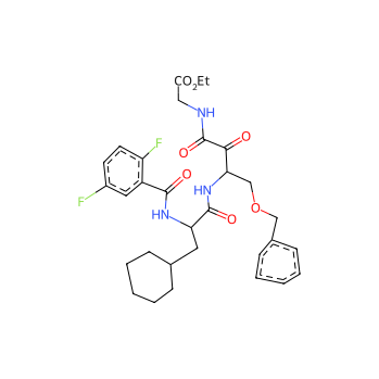 CCOC(=O)CNC(=O)C(=O)C(COCc1ccccc1)NC(=O)C(CC1CCCCC1)NC(=O)c1cc(F)ccc1F